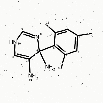 Cc1cc(C)c(C2(N)N=CNC=C2N)c(C)c1